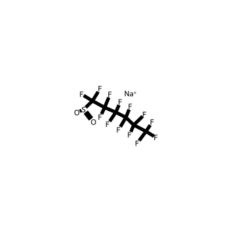 O=S([O-])C(F)(F)C(F)(F)C(F)(F)C(F)(F)C(F)(F)C(F)(F)F.[Na+]